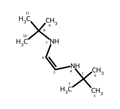 CC(C)(C)N/C=C\NC(C)(C)C